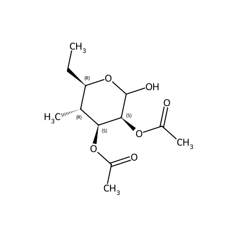 CC[C@H]1OC(O)[C@@H](OC(C)=O)[C@@H](OC(C)=O)[C@@H]1C